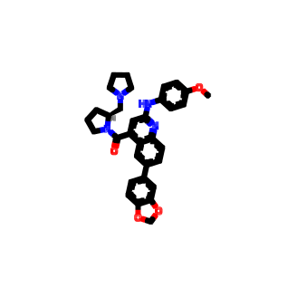 COc1ccc(Nc2cc(C(=O)N3CCC[C@H]3CN3CCCC3)c3cc(-c4ccc5c(c4)OCO5)ccc3n2)cc1